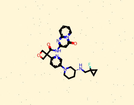 O=C(Nc1cc(=O)n2ccccc2n1)C1(c2ccc(N3CCC[C@@H](NCC4(F)CC4)C3)cn2)COC1